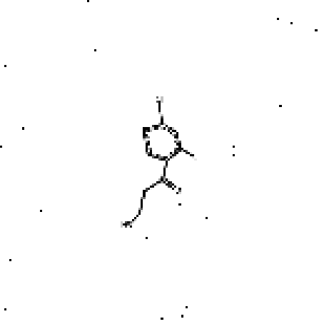 O=C(CCS)c1ccc(Cl)cc1Cl